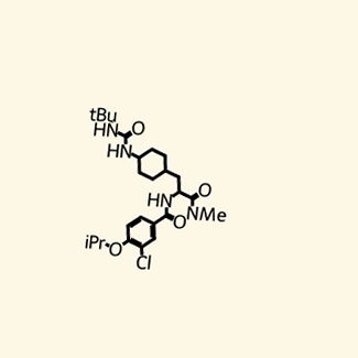 CNC(=O)C(CC1CCC(NC(=O)NC(C)(C)C)CC1)NC(=O)c1ccc(OC(C)C)c(Cl)c1